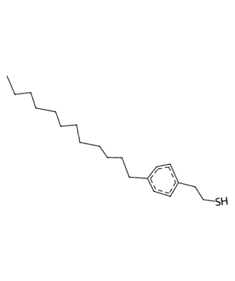 CCCCCCCCCCCCc1ccc(CCS)cc1